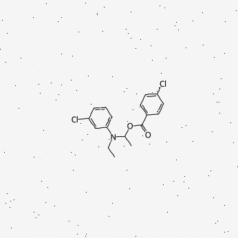 CCN(c1cccc(Cl)c1)C(C)OC(=O)c1ccc(Cl)cc1